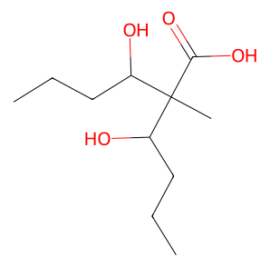 CCCC(O)C(C)(C(=O)O)C(O)CCC